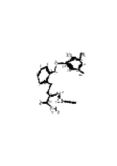 CON=C(CCc1ccccc1COc1cc(C)cc(C)c1)C(N)=O